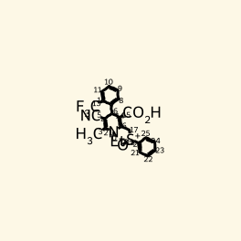 CCN1C(C)=C(C#N)C(c2ccccc2C(F)(F)F)C(C(=O)O)=C1C[S+]([O-])c1ccccc1